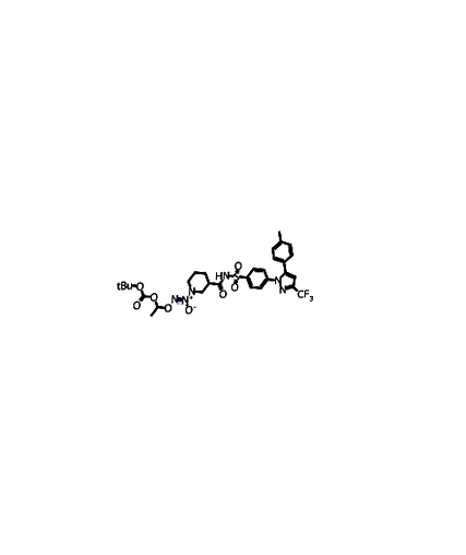 Cc1ccc(-c2cc(C(F)(F)F)nn2-c2ccc(S(=O)(=O)NC(=O)C3CCCN(/[N+]([O-])=N/OC(C)OC(=O)OC(C)(C)C)C3)cc2)cc1